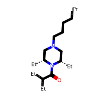 CCC(CC)C(=O)N1[C@H](CC)CN(CCCCC(C)C)C[C@@H]1CC